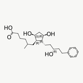 CC(CCCC(=O)O)C[C@@H]1[C@@H](CC[C@@H](O)CCc2ccccc2)[C@H](O)C[C@@H]1O